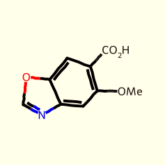 COc1cc2ncoc2cc1C(=O)O